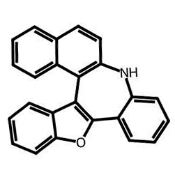 c1ccc2c(c1)Nc1ccc3ccccc3c1-c1c-2oc2ccccc12